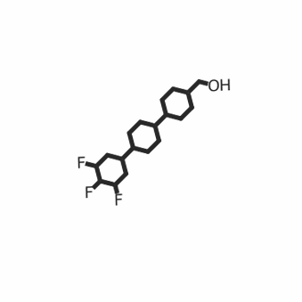 OCC1CCC(C2CCC(C3CC(F)C(F)C(F)C3)CC2)CC1